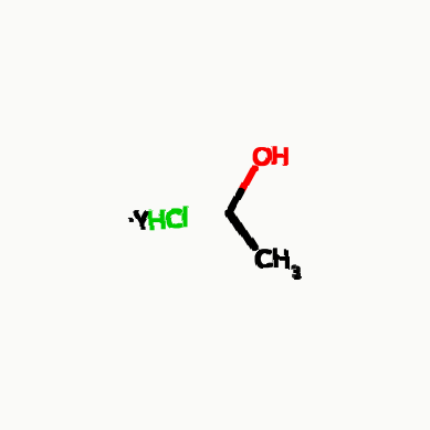 CCO.Cl.[Y]